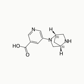 O=C(O)c1cncc(N2C[C@@H]3C[C@H]2CN3)c1